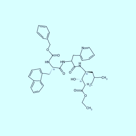 CCOC(=O)C[C@H](O)[C@H](CC(C)C)NC(=O)C(Cc1ccccn1)NC(=O)[C@H](Cc1cccc2ccccc12)NC(=O)OCc1ccccc1